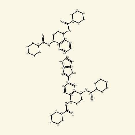 O=C(OC1CCC(OC(=O)C2CCCCC2)c2cc(-c3cc4sc(-c5ccc6c(c5)C(OC(=O)C5CCCCC5)CCC6OC(=O)C5CCCCC5)cc4s3)ccc21)C1CCCCC1